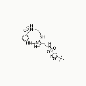 CC(C)(C)c1cc(S(=O)(=O)NCCc2cnc3nc2NCCCNS(=O)(=O)c2cccc(c2)N3)no1